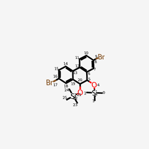 C[Si](C)(C)OC1c2cc(Br)ccc2-c2ccc(Br)cc2C1O[Si](C)(C)C